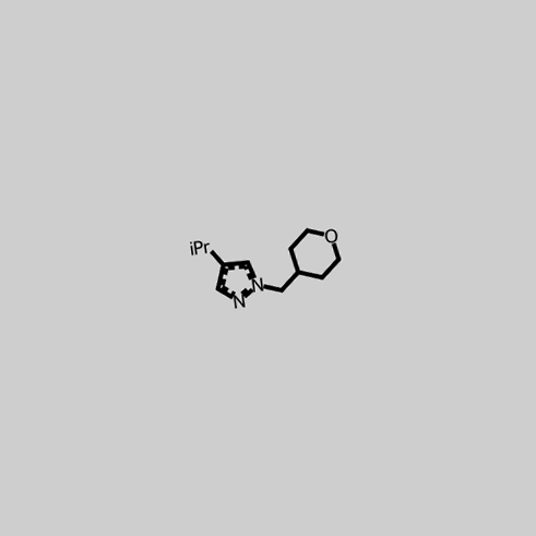 CC(C)c1cnn(CC2CCOCC2)c1